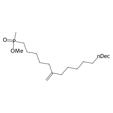 C=C(CCCCCCCCCCCCCCC)CCCCCP(C)(=O)OC